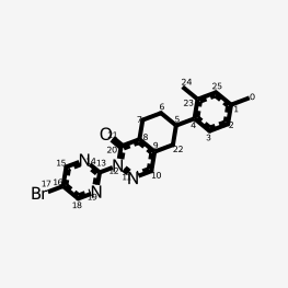 Cc1ccc(C2CCc3c(cnn(-c4ncc(Br)cn4)c3=O)C2)c(C)c1